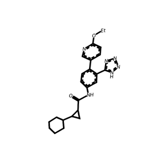 CCOc1ccc(-c2ccc(NC(=O)C3CC3C3CCCCC3)cc2-c2nnn[nH]2)cn1